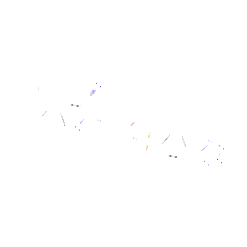 CCOC(=O)c1cc(C#N)c(N2CC(C(=O)NS(=O)(=O)c3ccc(-c4nnn[nH]4)cc3)C2)nc1C